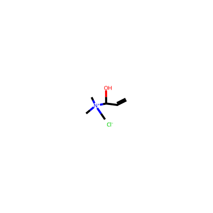 C=CC(O)[N+](C)(C)C.[Cl-]